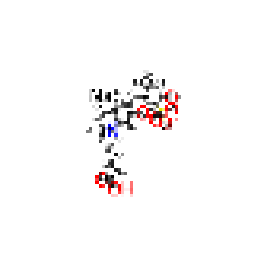 CC1=CC(C)(C)N(CCCCCC(=O)O)c2cc3c(cc21)C=C1C(=C(S(=O)(=O)[O-])C(=O)CC1(C)C)O3.[Na+]